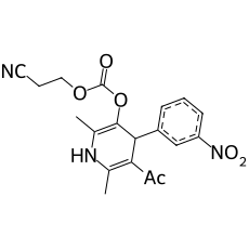 CC(=O)C1=C(C)NC(C)=C(OC(=O)OCCC#N)C1c1cccc([N+](=O)[O-])c1